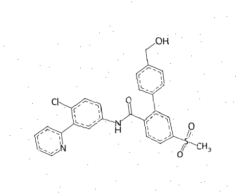 CS(=O)(=O)c1ccc(C(=O)Nc2ccc(Cl)c(-c3ccccn3)c2)c(-c2ccc(CO)cc2)c1